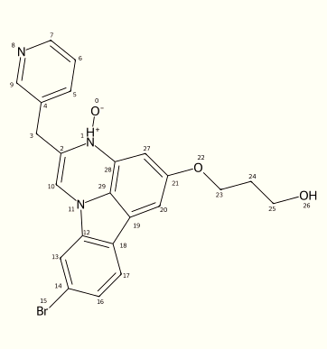 [O-][NH+]1C(Cc2cccnc2)=Cn2c3cc(Br)ccc3c3cc(OCCCO)cc1c32